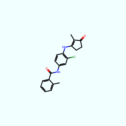 CC1=C(Nc2ccc(NC(=O)c3ccccc3C)cc2Cl)CCC1=O